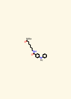 CNC(=O)CCCCCCNC(=O)c1ccc(N(C(C)=O)c2ccccc2)cc1